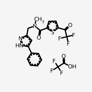 CN(Cc1cc(-c2ccccc2)[nH]n1)C(=O)c1ccc(C(=O)C(F)(F)F)s1.O=C(O)C(F)(F)F